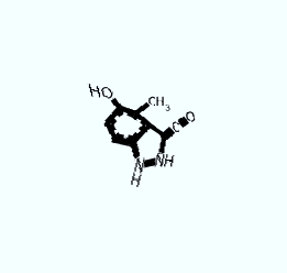 Cc1c(O)ccc2c1C(=C=O)NN2